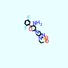 N[C@H]1C[C@@H](N2Cc3nc4n(c3C2)CCCS4(=O)=O)CO[C@@H]1c1cc(F)ccc1F